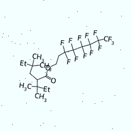 CCC(C)(C)CC(C(=O)OCCC(F)(F)C(F)(F)C(F)(F)C(F)(F)C(F)(F)C(F)(F)F)C(C)(C)CC